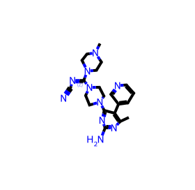 Cc1nc(N)nc(N2CCN(/C(=N\C#N)N3CCN(C)CC3)CC2)c1-c1cccnc1